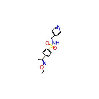 CCON=C(C)c1ccc(S(=O)(=O)NCc2ccncc2)cc1